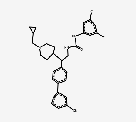 N#Cc1cccc(-c2ccc(C(CNC(=O)Nc3cc(Cl)cc(Cl)c3)C3CCN(CC4CC4)CC3)cc2)c1